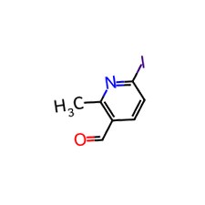 Cc1nc(I)ccc1C=O